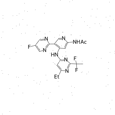 CCc1cc(Nc2cc(NC(C)=O)ncc2-c2ncc(F)cn2)nc(C(C)(F)F)n1